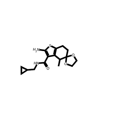 CC1c2c(sc(N)c2C(=O)NCC2CC2)CCC12OCCO2